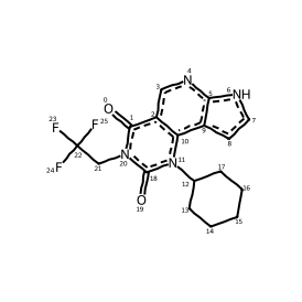 O=c1c2cnc3[nH]ccc3c2n(C2CCCCC2)c(=O)n1CC(F)(F)F